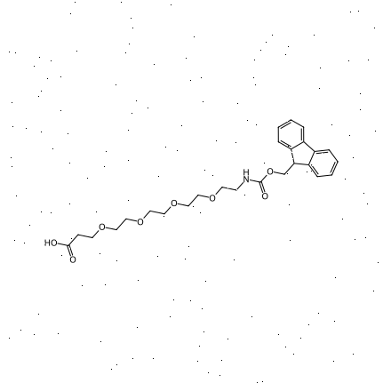 O=C(O)CCOCCOCCOCCOCCNC(=O)OCC1c2ccccc2-c2ccccc21